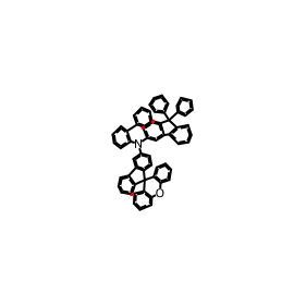 c1ccc(-c2ccccc2N(c2ccc3c(c2)-c2ccccc2C3(c2ccccc2)c2ccccc2)c2ccc3c(c2)-c2ccccc2C32c3ccccc3Oc3ccccc32)cc1